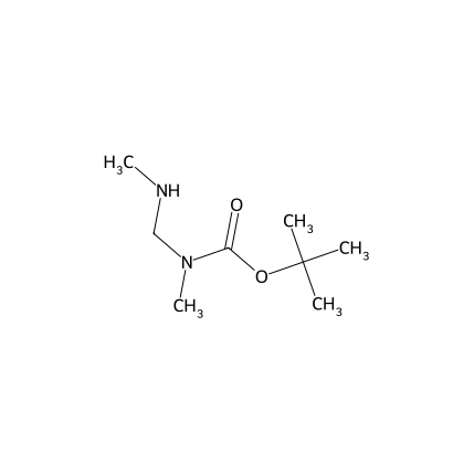 CNCN(C)C(=O)OC(C)(C)C